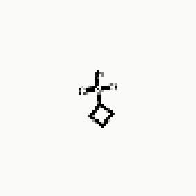 CC(C)S(=O)(=O)[C]1CCC1